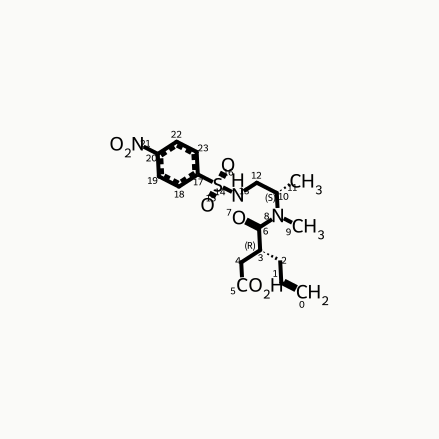 C=CC[C@H](CC(=O)O)C(=O)N(C)[C@@H](C)CNS(=O)(=O)c1ccc([N+](=O)[O-])cc1